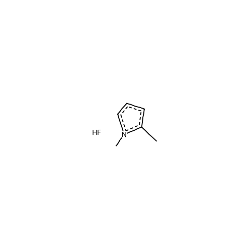 Cc1cccn1C.F